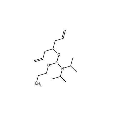 C=CCC(CC=C)OP(OCCN)N(C(C)C)C(C)C